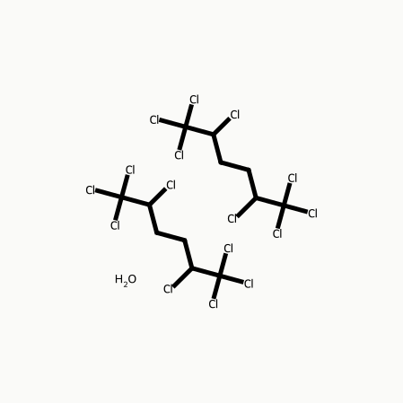 ClC(CCC(Cl)C(Cl)(Cl)Cl)C(Cl)(Cl)Cl.ClC(CCC(Cl)C(Cl)(Cl)Cl)C(Cl)(Cl)Cl.O